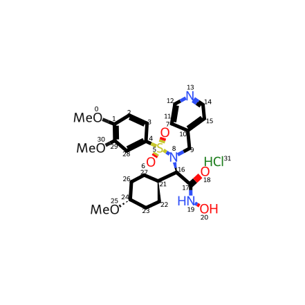 COc1ccc(S(=O)(=O)N(Cc2ccncc2)[C@@H](C(=O)NO)[C@H]2CC[C@H](OC)CC2)cc1OC.Cl